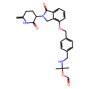 C=C1CCC(N2Cc3c(OCc4ccc(CNC(C)(C)OC=O)cc4)cccc3C2=O)C(=O)N1